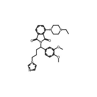 CCN1CCN(c2cccc3c2C(=O)N(C(CCCn2ccnc2)c2ccc(OC)c(OC)c2)C3=O)CC1